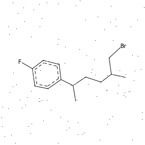 C[C](CCC(C)CBr)c1ccc(F)cc1